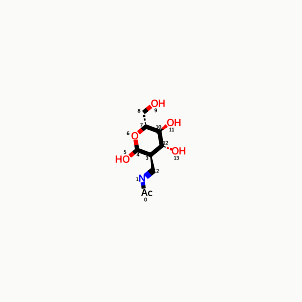 CC(=O)/N=C/[C@H]1C(O)O[C@H](CO)[C@@H](O)[C@@H]1O